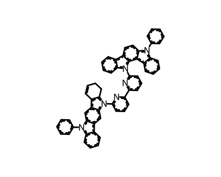 C1=Cc2c(n(-c3cccc(-c4cccc(-n5c6ccccc6c6ccc7c(c8ccccc8n7-c7ccccc7)c65)n4)n3)c3cc4c5ccccc5n(-c5ccccc5)c4cc23)CC1